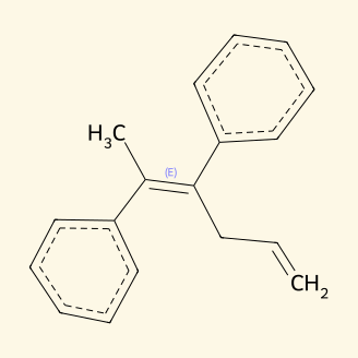 C=CC/C(=C(/C)c1ccccc1)c1ccccc1